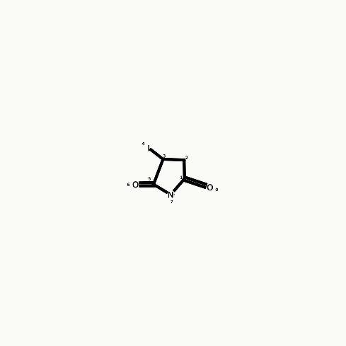 O=C1CC(I)C(=O)[N]1